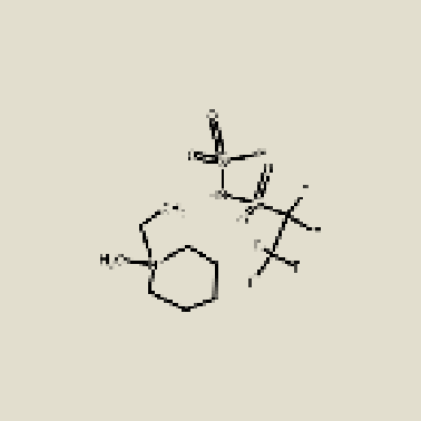 CC[N+]1(C)CCCCC1.O=S(=O)(F)NS(=O)(=O)C(F)(F)C(F)(F)F